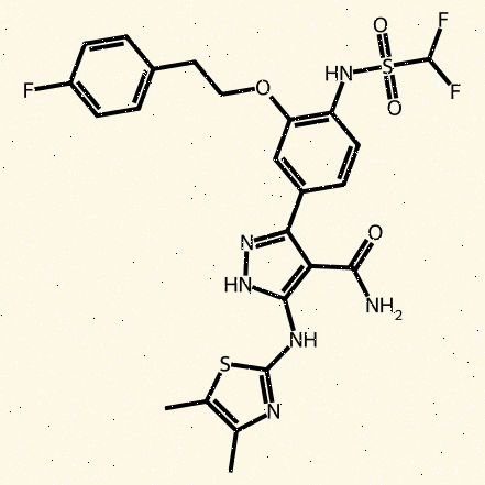 Cc1nc(Nc2[nH]nc(-c3ccc(NS(=O)(=O)C(F)F)c(OCCc4ccc(F)cc4)c3)c2C(N)=O)sc1C